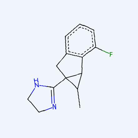 CC1C2c3c(F)cccc3CC12C1=NCCN1